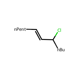 CCCCCC=CC(Cl)CCCC